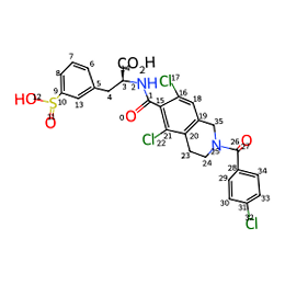 O=C(N[C@@H](Cc1cccc(S(=O)O)c1)C(=O)O)c1c(Cl)cc2c(c1Cl)CCN(C(=O)c1ccc(Cl)cc1)C2